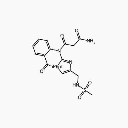 CCCCCC(=O)c1ccccc1N(C(=O)CC(N)=O)c1nc(CNS(C)(=O)=O)cs1